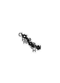 O=C(NCc1ccc(Cl)cc1)Nc1ccc(S(=O)(=O)NCc2cccnc2)cc1